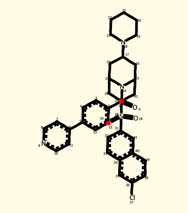 O=C(c1ccc(-c2ccncc2)cc1)N1C2CC(N3CCCCC3)CC1CN(S(=O)(=O)c1ccc3cc(Cl)ccc3c1)C2